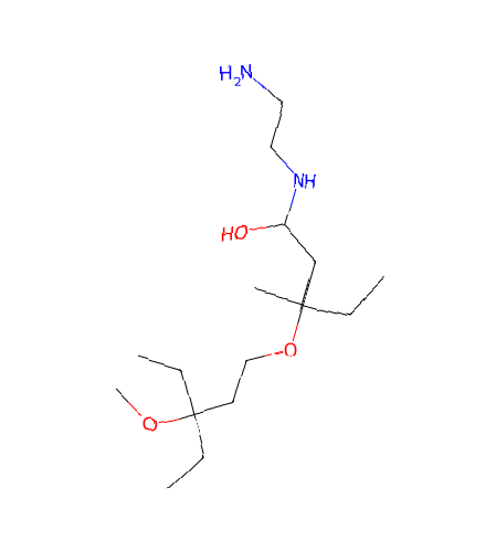 CCC(C)(CC(O)NCCN)OCCC(CC)(CC)OC